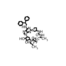 CCCN(C(=O)C(F)(F)F)[C@H]1C[C@@H](n2cnc3c(NCC(c4ccccc4)c4ccccc4)nc(N4CC[C@@H](NC(=O)NC(C)C)C4)nc32)[C@H](O)[C@@H]1O